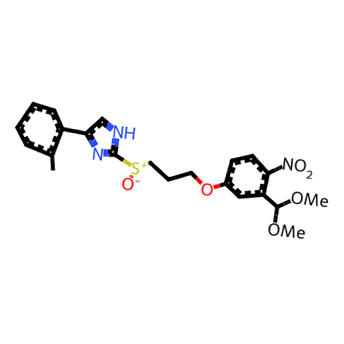 COC(OC)c1cc(OCCC[S+]([O-])c2nc(-c3ccccc3C)c[nH]2)ccc1[N+](=O)[O-]